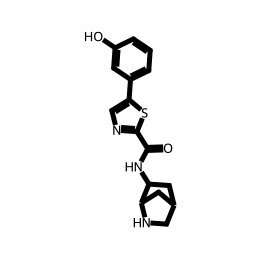 O=C(NC1CC2CNC1C2)c1ncc(-c2cccc(O)c2)s1